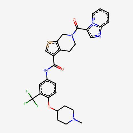 CN1CCC(Oc2ccc(NC(=O)c3csc4c3CCN(C(=O)c3cnc5ccccn35)C4)cc2C(F)(F)F)CC1